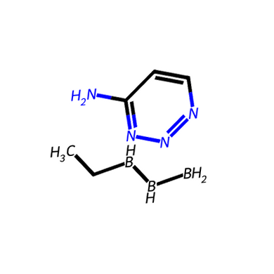 BBBCC.Nc1ccnnn1